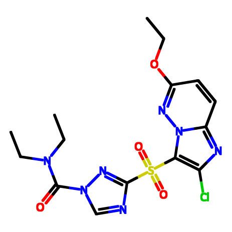 CCOc1ccc2nc(Cl)c(S(=O)(=O)c3ncn(C(=O)N(CC)CC)n3)n2n1